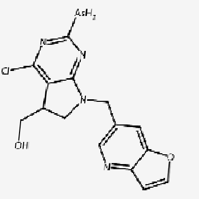 OCC1CN(Cc2cnc3ccoc3c2)c2nc([AsH2])nc(Cl)c21